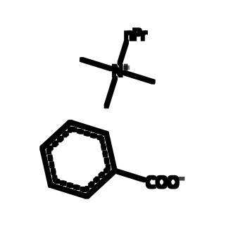 CCC[N+](C)(C)C.O=C([O-])c1ccccc1